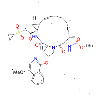 COc1cnc(O[C@@H]2C[C@H]3C(=O)N[C@]4(C(=O)NS(=O)(=O)C5CC5)C[C@H]4/C=C\CC[C@H](C)C[C@@H](C)[C@H](NC(=O)OC(C)(C)C)C(=O)N3C2)c2ccccc12